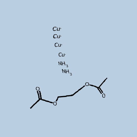 CC(=O)OCCOC(C)=O.N.N.[Cu].[Cu].[Cu].[Cu]